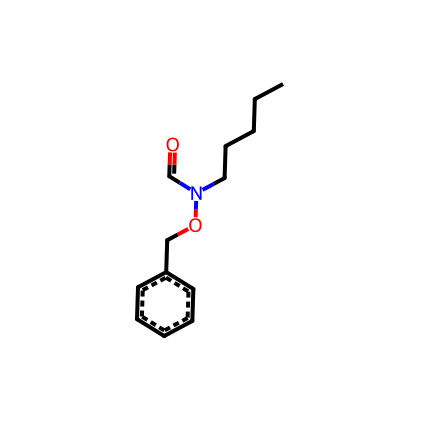 CCCCCN(C=O)OCc1ccccc1